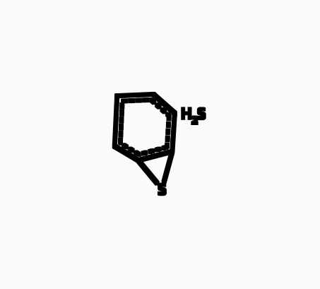 S.c1ccc2c(c1)S2